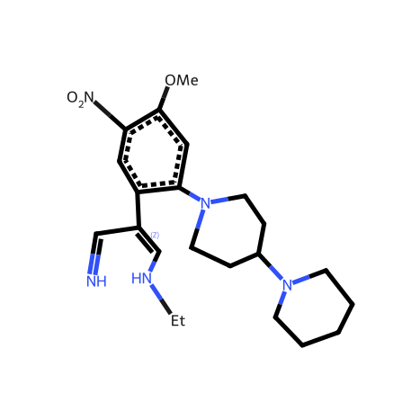 CCN/C=C(\C=N)c1cc([N+](=O)[O-])c(OC)cc1N1CCC(N2CCCCC2)CC1